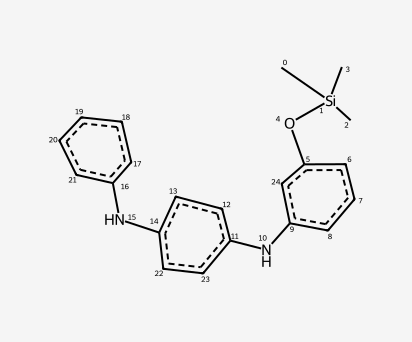 C[Si](C)(C)Oc1cccc(Nc2ccc(Nc3ccccc3)cc2)c1